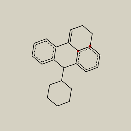 C1=C(c2ccccc2[C](c2ccccc2)C2CCCCC2)CCCC1